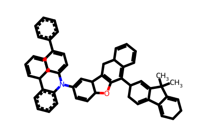 CC1(C)C2=CCCC=C2C2=CCC(C3=C4C=CC=CC4CC4=C3OC3C=CC(N(C5=CC=C(c6ccccc6)CC5)c5ccccc5C5C=CC=CC5)=CC43)C=C21